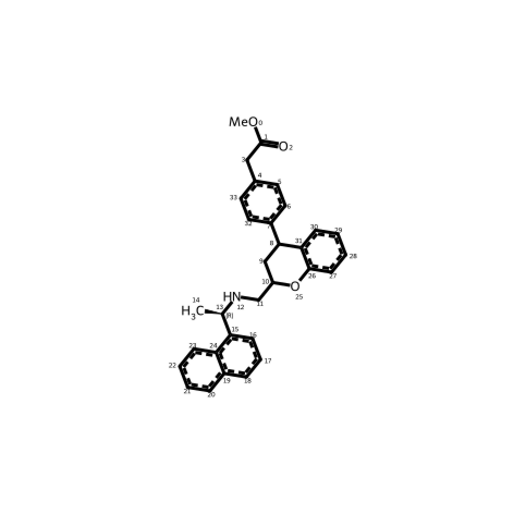 COC(=O)Cc1ccc(C2CC(CN[C@H](C)c3cccc4ccccc34)Oc3ccccc32)cc1